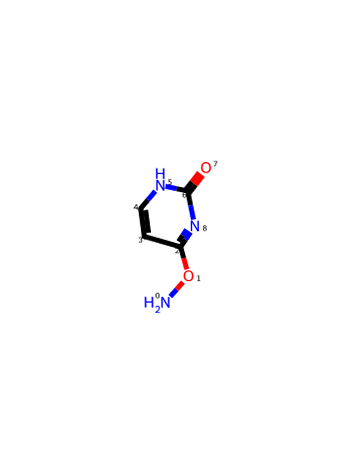 NOc1cc[nH]c(=O)n1